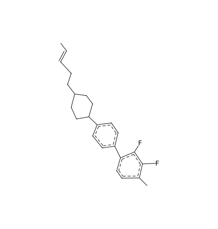 C/C=C/CCC1CCC(c2ccc(-c3ccc(C)c(F)c3F)cc2)CC1